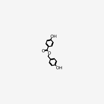 O=C(OCc1ccc(O)cc1)c1ccc(O)cc1